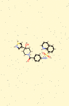 O=C(c1ccc(NS(=O)(=O)c2cccc3cccnc23)cc1)N1CCC(O)(c2cnsc2)CC1